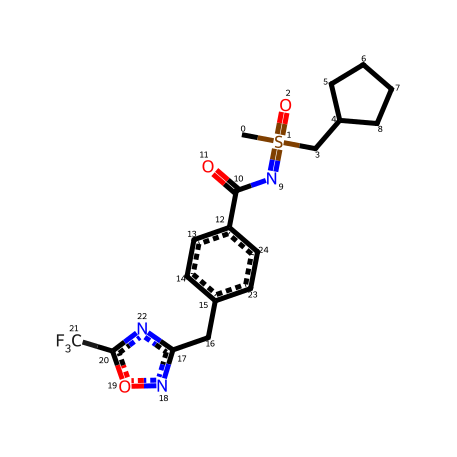 CS(=O)(CC1CCCC1)=NC(=O)c1ccc(Cc2noc(C(F)(F)F)n2)cc1